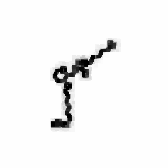 CCCCCCCCCCCCCCCCO[C@@H]1CCCO[C@H]1COC(=O)NCCCCCBr